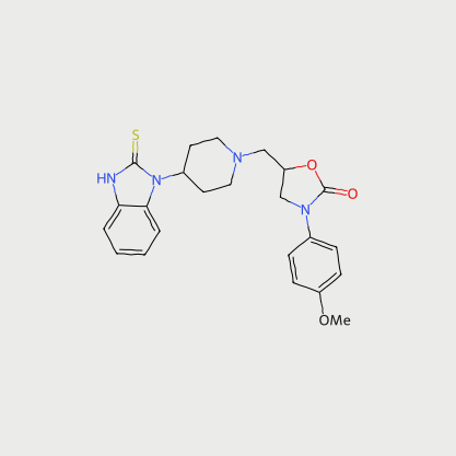 COc1ccc(N2CC(CN3CCC(n4c(=S)[nH]c5ccccc54)CC3)OC2=O)cc1